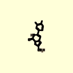 Cc1ccc(-c2cn3cc(C(=O)O)cc3c(=O)[nH]2)cc1C